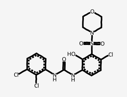 O=C(Nc1ccc(Cl)c(S(=O)(=O)N2CCOCC2)c1O)Nc1cccc(Cl)c1Cl